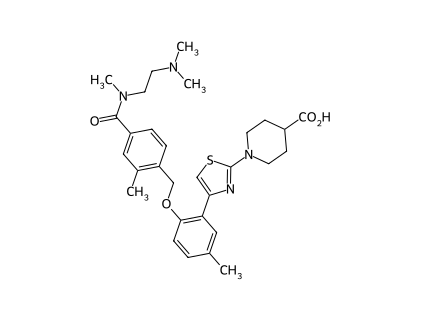 Cc1ccc(OCc2ccc(C(=O)N(C)CCN(C)C)cc2C)c(-c2csc(N3CCC(C(=O)O)CC3)n2)c1